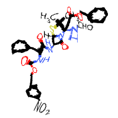 CC1(C)S[C@@H]2[C@H](NC(=O)C(NC(=O)OCc3ccc([N+](=O)[O-])cc3)c3ccccc3)C(=O)N2[C@@]1(NC=O)C(=O)OCc1ccccc1